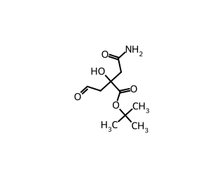 CC(C)(C)OC(=O)C(O)(CC=O)CC(N)=O